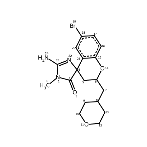 CN1C(=O)C2(CC(CC3CCOCC3)Oc3ccc(Br)cc32)N=C1N